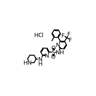 Cc1ccccc1-c1nc(NS(=O)(=O)c2cccc(N[C@H]3CCCNC3)n2)ccc1C(F)(F)F.Cl